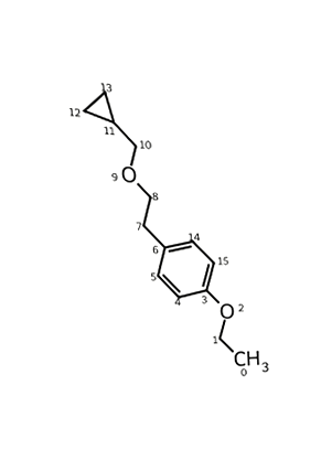 CCOc1ccc(CCOCC2CC2)cc1